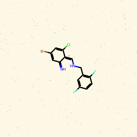 N=C1C=C(Br)C=C(Cl)/C1=C/NCc1cc(F)ccc1F